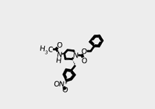 CC(=O)N[C@H]1CCN(C(=O)OCc2ccccc2)[C@H](Cc2ccc([N+](=O)[O-])cc2)C1